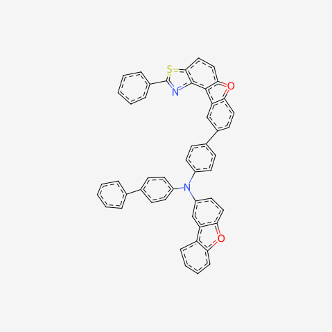 c1ccc(-c2ccc(N(c3ccc(-c4ccc5oc6ccc7sc(-c8ccccc8)nc7c6c5c4)cc3)c3ccc4oc5ccccc5c4c3)cc2)cc1